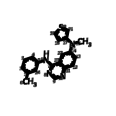 Cc1cccc(Nc2ncnc3ccc(N(C)c4ccsc4)cc23)c1